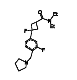 CCN(CC)C(=O)C1CC(F)(c2ccc(CN3CCCC3)c(F)c2)C1